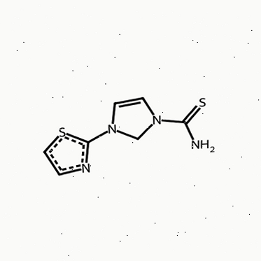 NC(=S)N1C=CN(c2nccs2)C1